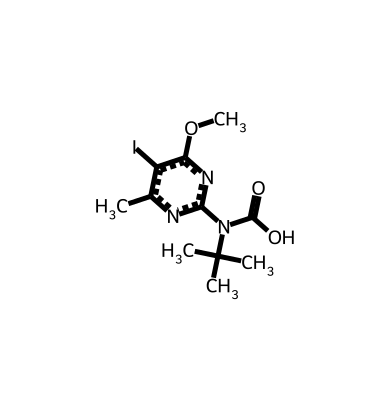 COc1nc(N(C(=O)O)C(C)(C)C)nc(C)c1I